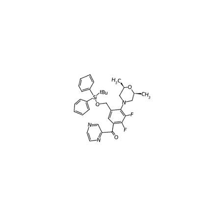 C[C@@H]1CN(c2c(CO[Si](c3ccccc3)(c3ccccc3)C(C)(C)C)cc(C(=O)c3cnccn3)c(F)c2F)C[C@H](C)O1